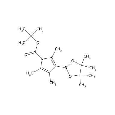 Cc1c(B2OC(C)(C)C(C)(C)O2)c(C)n(C(=O)OC(C)(C)C)c1C